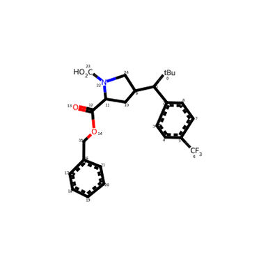 CC(C)(C)C(c1ccc(C(F)(F)F)cc1)C1CC(C(=O)OCc2ccccc2)N(C(=O)O)C1